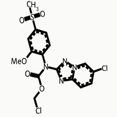 COc1cc(S(C)(=O)=O)ccc1N(C(=O)OCCl)c1nc2ccc(Cl)cn2n1